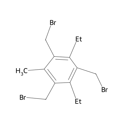 CCc1c(CBr)c(C)c(CBr)c(CC)c1CBr